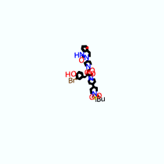 CCC(C)S(=O)(=O)N1CCC(C2CCN(C(=O)[C@@H](Cc3ccc(O)c(Br)c3)OC(=O)N3CCC(N4CCc5ccccc5NC4=O)CC3)CC2)CC1